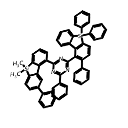 C[Si]1(C)c2ccc(-c3ccccc3)cc2-c2c(-c3nc(-c4ccccc4)nc(-c4c(-c5ccccc5)ccc5c4-c4ccccc4[Si]5(c4ccccc4)c4ccccc4)n3)cccc21